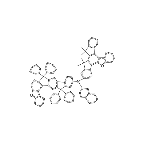 CC1(C)c2cc(N(c3ccc4c(c3)C(c3ccccc3)(c3ccccc3)c3cc5c(cc3-4)C(c3ccccc3)(c3ccccc3)c3ccc4oc6ccccc6c4c3-5)c3ccc4ccccc4c3)ccc2-c2c1c1c(c3c2oc2ccccc23)-c2ccccc2C1(C)C